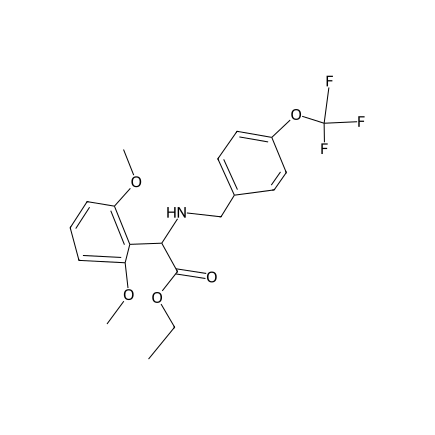 CCOC(=O)C(NCc1ccc(OC(F)(F)F)cc1)c1c(OC)cccc1OC